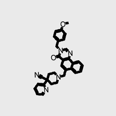 COc1ccc(Cn2cnc3c(cc(CN4CCC(C#N)(c5ccccn5)CC4)c4ccccc43)c2=O)cc1